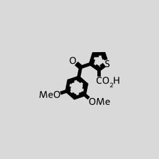 COc1cc(OC)cc(C(=O)c2ccsc2C(=O)O)c1